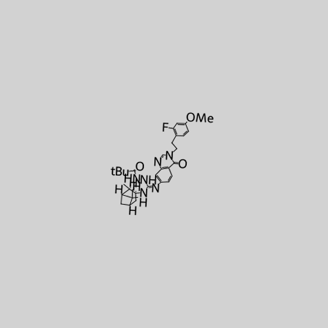 COc1ccc(CCn2cnc3cc(N=C(NNC(=O)C(C)(C)C)N[C@H]4C[C@@H]5C[C@@H]([C@H]4C)C5(C)C)ccc3c2=O)c(F)c1